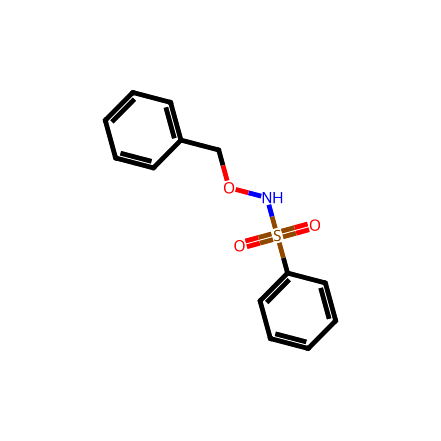 O=S(=O)(NOCc1ccccc1)c1ccccc1